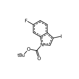 CC(C)(C)OC(=O)n1cc(I)c2ccc(F)cc21